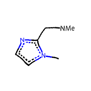 CNCc1nccn1C